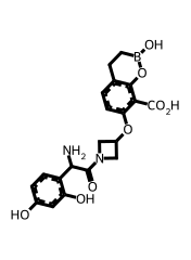 NC(C(=O)N1CC(Oc2ccc3c(c2C(=O)O)OB(O)CC3)C1)c1ccc(O)cc1O